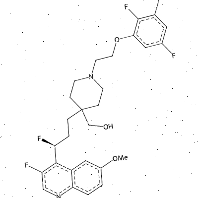 COc1ccc2ncc(F)c([C@@H](F)CCC3(CO)CCN(CCOc4cc(F)cc(F)c4F)CC3)c2c1